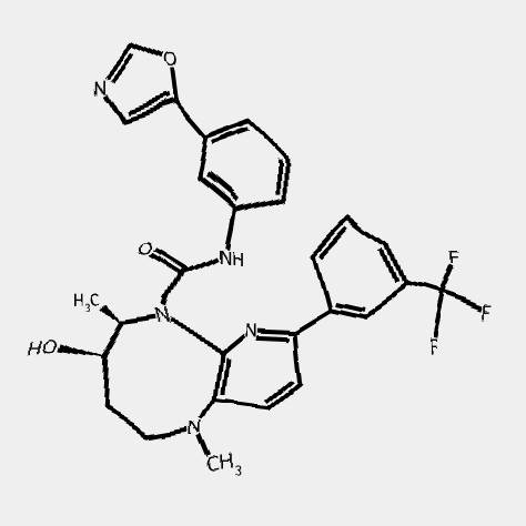 C[C@@H]1[C@H](O)CCN(C)c2ccc(-c3cccc(C(F)(F)F)c3)nc2N1C(=O)Nc1cccc(-c2cnco2)c1